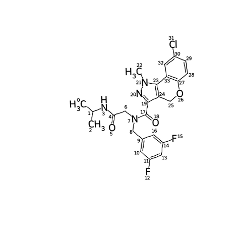 CC(C)NC(=O)CN(Cc1cc(F)cc(F)c1)C(=O)c1nn(C)c2c1COc1ccc(Cl)cc1-2